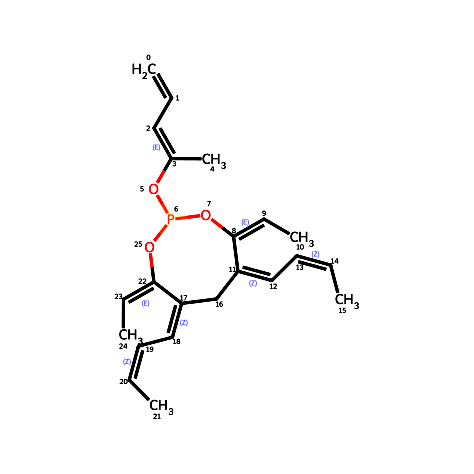 C=C/C=C(\C)OP1OC(=C/C)/C(=C\C=C/C)CC(=C/C=C\C)/C(=C\C)O1